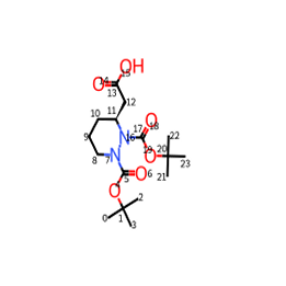 CC(C)(C)OC(=O)N1CCC[C@@H](CC(=O)O)N1C(=O)OC(C)(C)C